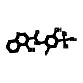 CCC(CC)(c1cc(F)c(NC(=O)c2cnc3ccccc3c2O)cc1O)C(C)(C)C